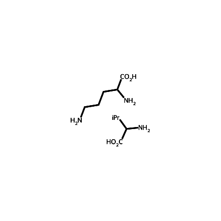 CC(C)C(N)C(=O)O.NCCCC(N)C(=O)O